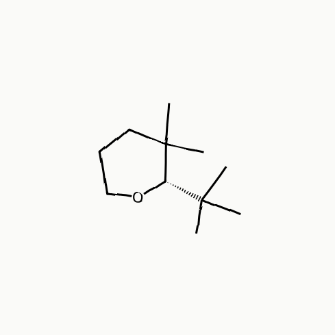 CC(C)(C)[C@@H]1OCCCC1(C)C